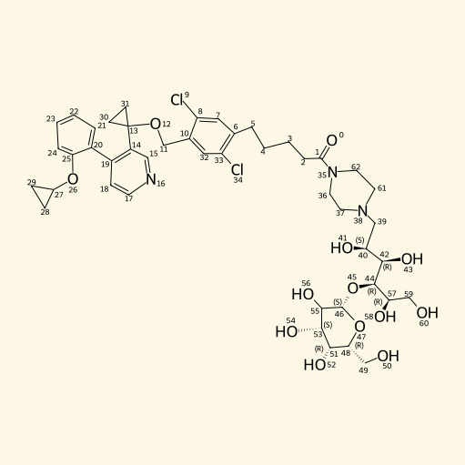 O=C(CCCCc1cc(Cl)c(COC2(c3cnccc3-c3ccccc3OC3CC3)CC2)cc1Cl)N1CCN(C[C@H](O)[C@@H](O)[C@H](O[C@@H]2O[C@H](CO)[C@H](O)[C@H](O)C2O)[C@H](O)CO)CC1